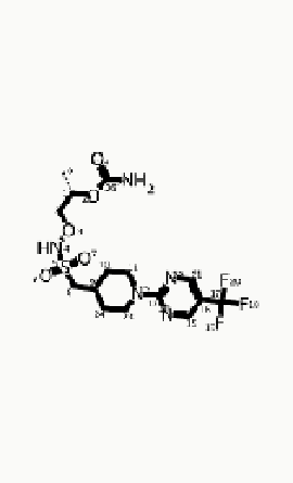 C[C@@H](CONS(=O)(=O)CC1CCN(c2ncc(C(F)(F)F)cn2)CC1)OC(N)=O